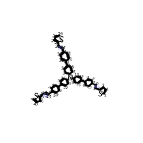 C(=C\c1cccs1)/c1ccc(-c2ccc(N(c3ccc(-c4ccc(/C=C/c5cccs5)cc4)cc3)c3ccc(-c4ccc(/C=C/c5cccs5)cc4)cc3)cc2)cc1